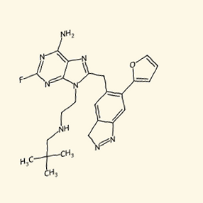 CC(C)(C)CNCCn1c(Cc2cc3c(cc2-c2ccco2)N=NC3)nc2c(N)nc(F)nc21